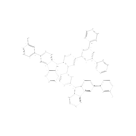 Cc1cccc(-c2ccc3c(c2)c2ccccc2n3-c2cccc(-c3cc(-c4nc(-c5ccccc5)cc(-c5ccccc5)n4)ccc3-n3c4ccccc4c4cc(-c5cccc(C)c5)ccc43)c2)c1